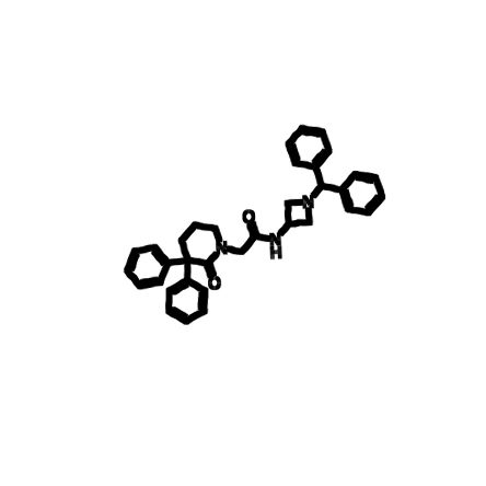 O=C(CN1CCCC(c2ccccc2)(c2ccccc2)C1=O)NC1CN(C(c2ccccc2)c2ccccc2)C1